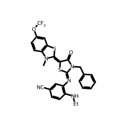 CCNc1ccc(C#N)cc1N=C1SC(=C2Sc3cc(OC(F)(F)F)ccc3N2C)C(=O)N1Cc1ccccc1